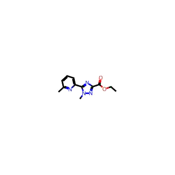 CCOC(=O)c1nc(-c2cccc(C)n2)n(C)n1